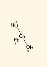 [OH][Co][OH].[Pt]